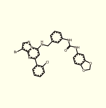 O=C(Nc1cccc(CNc2cc(-c3ccccc3Cl)nc3c(Br)cnn23)c1)Nc1ccc2c(c1)OCO2